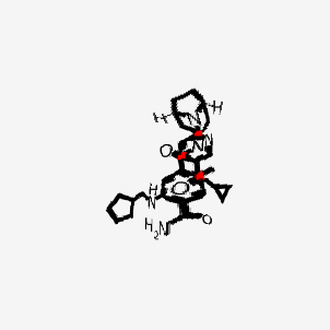 Cc1cc(C(N)=O)c(NCC2CCCC2)cc1C(=O)N[C@H]1C[C@H]2CC[C@@H](C1)N2c1ccc(C(=O)C2CC2)cn1